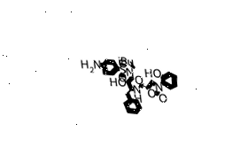 CC[C@H](C)CN(C[C@@H](O)[C@H](Cc1ccccc1)NC(=O)[C@@H]1CN(c2ccccc2O)C(=O)O1)S(=O)(=O)c1ccc(N)cc1